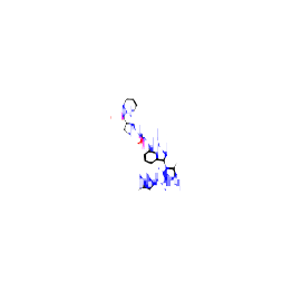 Cc1cnc(Nc2cc(C)n(C)n2)nc1-c1c[nH]c2c(NC(=O)CN3CCC(C(=O)N4CC=CCC4)C3)cccc12